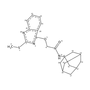 CSc1nc(OCC(=O)NC23CC4CC(CC(C4)C2)C3)c2ccccc2n1